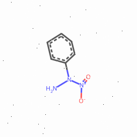 NN(c1ccccc1)[N+](=O)[O-]